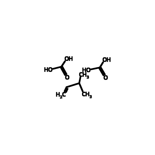 C=CC(C)C.O=C(O)O.O=C(O)O